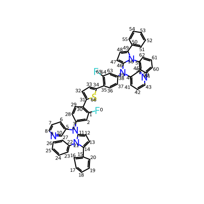 Fc1cc(N(c2cccnc2)c2ccc(-c3ccccc3)n2-c2ccccc2)ccc1-c1ccc(-c2ccc(N(c3cccnc3)c3ccc(-c4ccccc4)n3-c3ccccc3)cc2F)s1